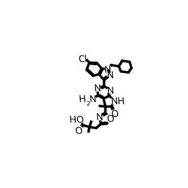 CC(C)(Cc1coc(C2(C)C(=O)Nc3nc(-c4nn(CC5CCCCC5)c5cc(Cl)ccc45)nc(N)c32)n1)C(=O)O